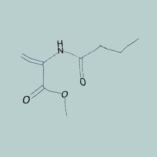 C=C(NC(=O)CCC)C(=O)OC